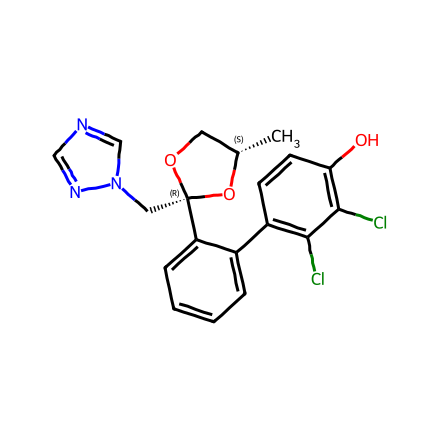 C[C@H]1CO[C@](Cn2cncn2)(c2ccccc2-c2ccc(O)c(Cl)c2Cl)O1